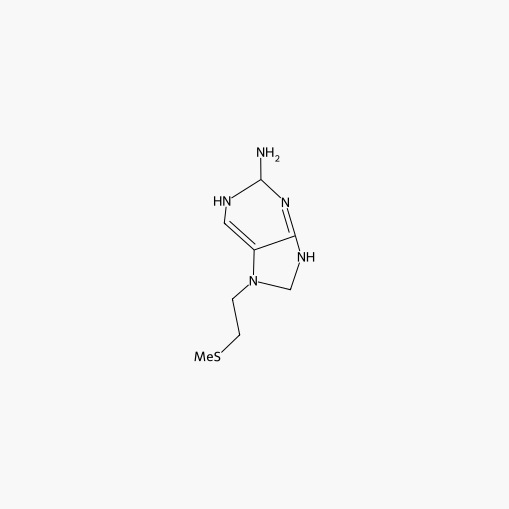 CSCCN1CNC2=NC(N)NC=C21